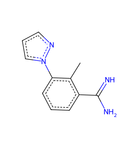 Cc1c(C(=N)N)cccc1-n1cccn1